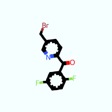 O=C(c1ccc(CBr)cn1)c1cc(F)ccc1F